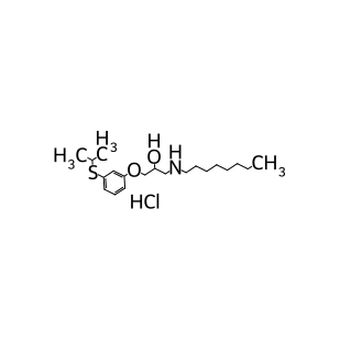 CCCCCCCCNCC(O)COc1cccc(SC(C)C)c1.Cl